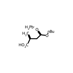 C=C(CC(=O)OCCCC)C(=O)O.[PbH2]